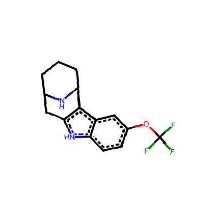 FC(F)(F)Oc1ccc2[nH]c3c(c2c1)C1CCCC(C3)N1